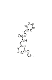 COC1=NCCC(CNC(=O)OCc2ccccc2)C1